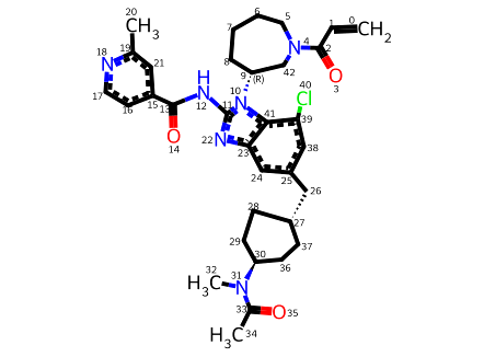 C=CC(=O)N1CCCC[C@@H](n2c(NC(=O)c3ccnc(C)c3)nc3cc(C[C@H]4CC[C@H](N(C)C(C)=O)CC4)cc(Cl)c32)C1